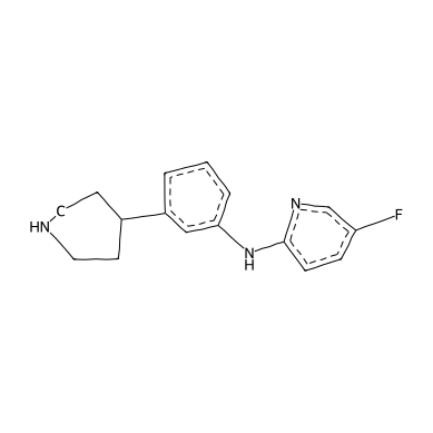 Fc1ccc(Nc2cccc(C3CCNCC3)c2)nc1